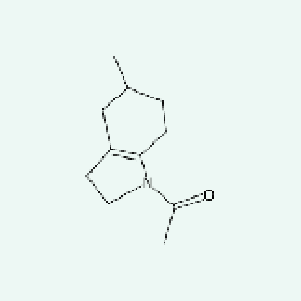 CC(=O)N1CCC2=C1CCC(C)C2